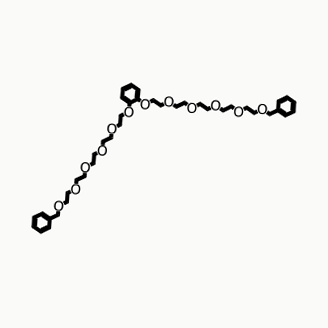 c1ccc(COCCOCCOCCOCCOCCOc2ccccc2OCCOCCOCCOCCOCCOCc2ccccc2)cc1